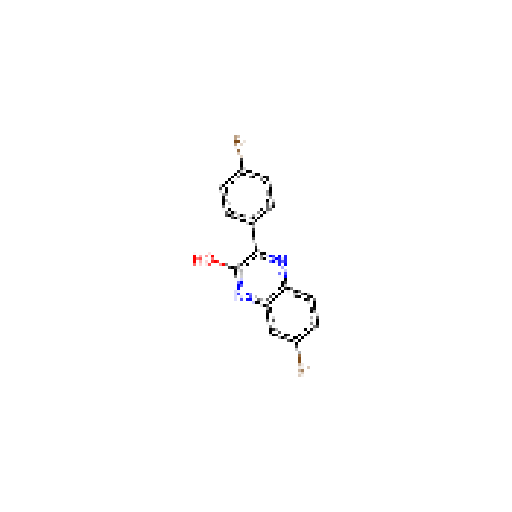 Oc1nc2cc(Br)ccc2nc1-c1ccc(Br)cc1